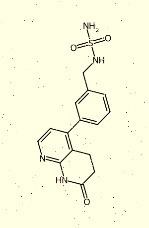 NS(=O)(=O)NCc1cccc(-c2ccnc3c2CCC(=O)N3)c1